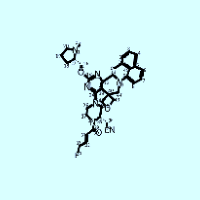 Cc1cccc2cccc(N3Cc4nc(OC[C@@H]5CCCN5C)nc(N5CCN(C(=O)/C=C/CF)[C@@H](CC#N)C5)c4C4(COC4)C3)c12